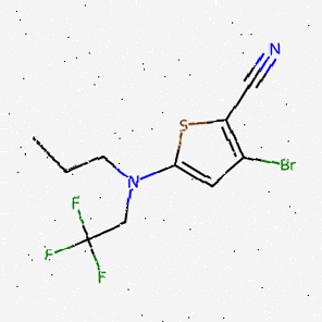 CCCN(CC(F)(F)F)c1cc(Br)c(C#N)s1